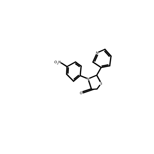 O=C1CSC(c2cccnc2)N1c1ccc([N+](=O)[O-])cc1